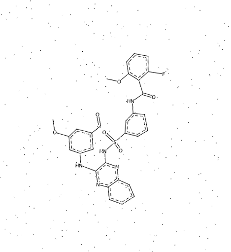 COc1cc(C=O)cc(Nc2nc3ccccc3nc2NS(=O)(=O)c2cccc(NC(=O)c3c(F)cccc3OC)c2)c1